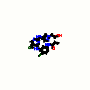 C=CC(=O)Nc1ccc(F)c(Nc2nc(Nc3cnn(CCO)c3)ncc2Cl)c1